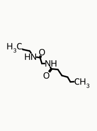 CCCCCC(=O)NCC(=O)NCCC